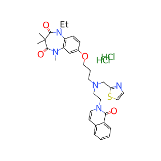 CCN1C(=O)C(C)(C)C(=O)N(C)c2cc(OCCCN(CCn3ccc4ccccc4c3=O)Cc3nccs3)ccc21.Cl.Cl